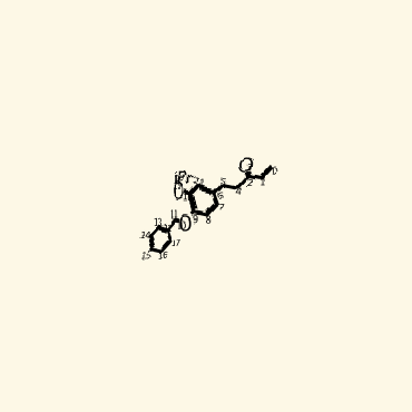 C=CC(=O)CCc1ccc(OCc2ccccc2)c(OC(C)C)c1